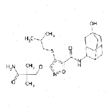 CC(C)CSc1c(OCC(C)(C)C(N)=O)noc1C(=O)NC1C2CC3CC1CC(O)(C3)C2